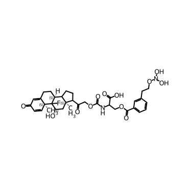 C[C@]12C[C@H](O)C3(F)[C@@H](CCC4=CC(=O)C=C[C@@]43C)C1CCC2C(=O)COC(=O)NC(COC(=O)c1cccc(CCON(O)O)c1)C(=O)O